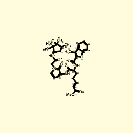 CCCC1(C)C(NC(=O)Cn2cccc(NC(=O)C(CC/C=C/C(=O)OC)NC(=O)c3oc4ccccc4c3C)c2=O)CC(C)C1(C)C